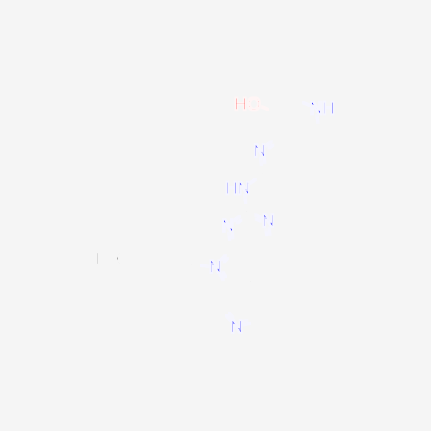 CC1CCC(n2c3cnccc3c3cnc(Nc4ccc5c(n4)C(O)CNC5)nc32)CC1